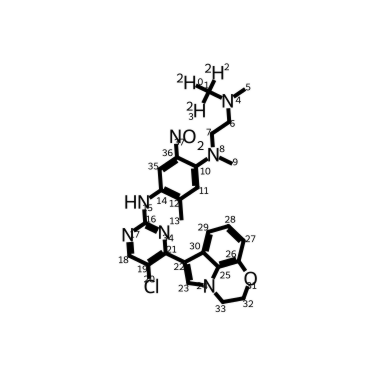 [2H]C([2H])([2H])N(C)CCN(C)c1cc(C)c(Nc2ncc(Cl)c(-c3cn4c5c(cccc35)OCC4)n2)cc1[N+](=O)[O-]